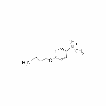 CN(C)c1ccc(OCCCN)cc1